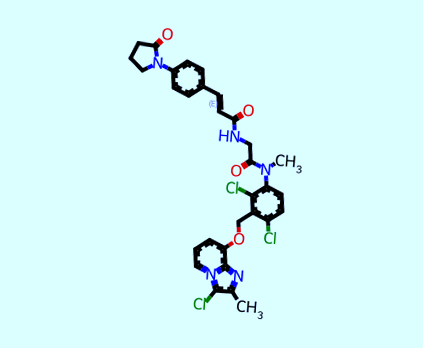 Cc1nc2c(OCc3c(Cl)ccc(N(C)C(=O)CNC(=O)/C=C/c4ccc(N5CCCC5=O)cc4)c3Cl)cccn2c1Cl